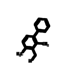 Cc1ccc(-c2ccccc2)c(C)c1CBr